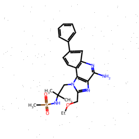 CCOCc1nc2c(N)nc3cc(-c4ccccc4)ccc3c2n1CC(C)(C)NS(C)(=O)=O